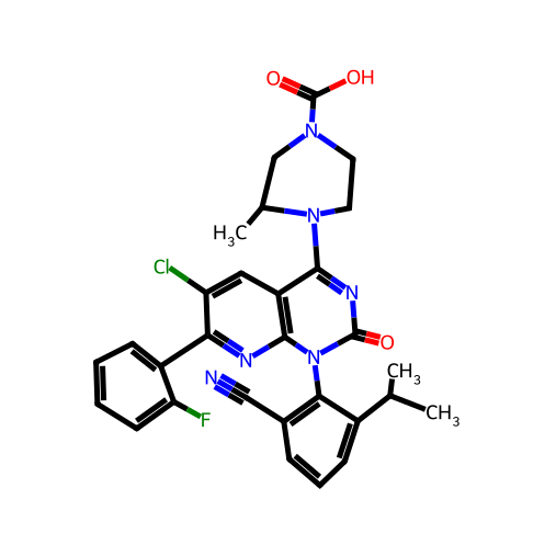 CC(C)c1cccc(C#N)c1-n1c(=O)nc(N2CCN(C(=O)O)CC2C)c2cc(Cl)c(-c3ccccc3F)nc21